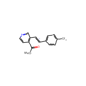 COC(=O)c1ccncc1/C=C/c1ccc(C(F)(F)F)cc1